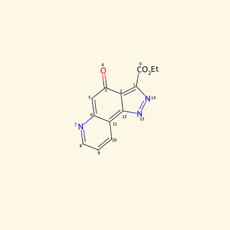 CCOC(=O)C1=C2C(=O)C=c3ncccc3=C2N=N1